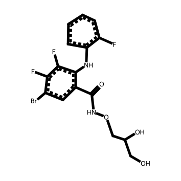 O=C(NOCC(O)CO)c1cc(Br)c(F)c(F)c1Nc1ccccc1F